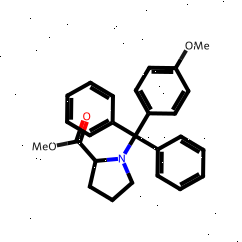 COC(=O)C1CCCN1C(c1ccccc1)(c1ccccc1)c1ccc(OC)cc1